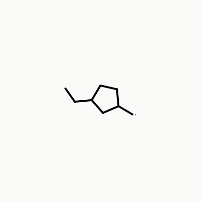 [CH2]C1CCC(CC)C1